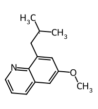 COc1cc(C[C](C)C)c2ncccc2c1